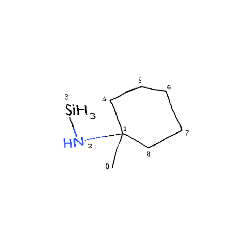 CC1(N[SiH3])CCCCC1